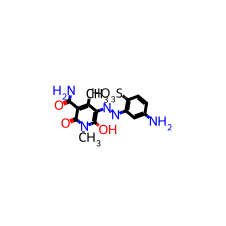 Cc1c(N=Nc2cc(N)ccc2S(=O)(=O)O)c(O)n(C)c(=O)c1C(N)=O